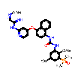 CN/N=C\C(=N)Nc1cc(Oc2ccc(NC(=O)Nc3cc(C(C)(C)C)cc(P(C)(C)=O)c3OC)c3ccccc23)ccn1